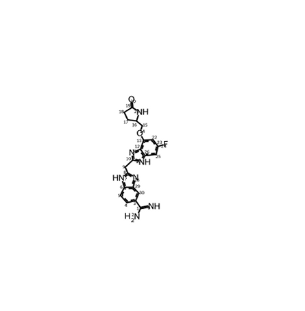 N=C(N)c1ccc2[nH]c(Cc3nc4c(OCC5CCC(=O)N5)cc(F)cc4[nH]3)nc2c1